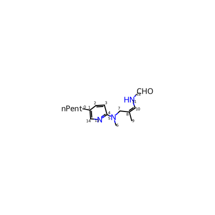 CCCCCc1ccc(N(C)C/C(C)=C\NC=O)nc1